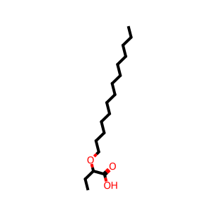 CCCCCCCCCCCCCCOC(CC)C(=O)O